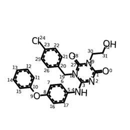 O=c1nc(Nc2ccc(Oc3ccccc3)cc2)n(Cc2ccc(Cl)cc2)c(=O)n1CCO